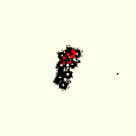 c1ccc(-c2cccc3c2sc2c(N(c4ccc5c(c4)C4(c6ccccc6S5)c5ccccc5-c5ccccc54)c4ccc5c(c4)C4(c6ccccc6S5)c5ccccc5-c5ccccc54)cccc23)cc1